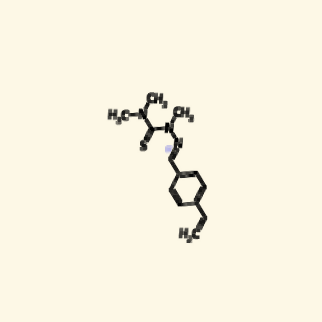 C=Cc1ccc(/C=N/N(C)C(=S)N(C)C)cc1